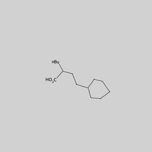 CCCCC(CCC1CCCCC1)C(=O)O